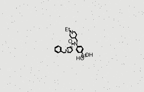 CCN1CCC(CN(C(=O)[C@@H]2CCN(Cc3ccccc3)C2)c2ccc([As](O)O)cc2)CC1